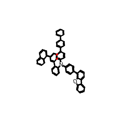 c1ccc(-c2ccc(-c3ccc(N(c4ccc(-c5cccc6c5oc5ccccc56)cc4)c4ccccc4-c4cccc(-c5cccc6ccccc56)c4)cc3)cc2)cc1